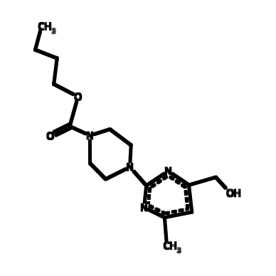 CCCCOC(=O)N1CCN(c2nc(C)cc(CO)n2)CC1